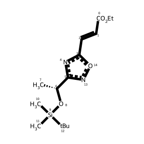 CCOC(=O)/C=C/c1nc([C@@H](C)O[Si](C)(C)C(C)(C)C)no1